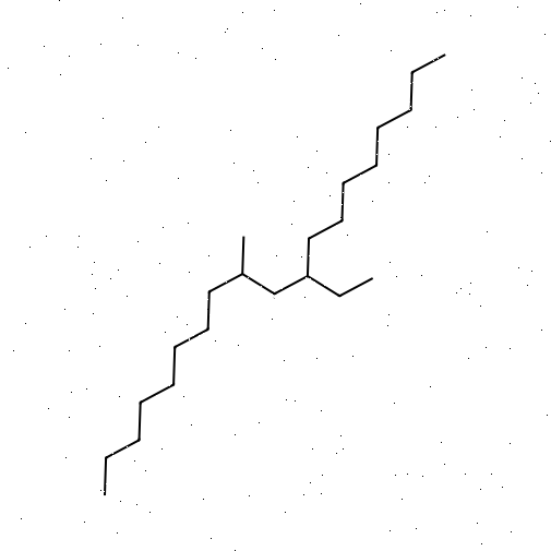 CCCCCCCCC(C)[CH]C(CC)CCCCCCCC